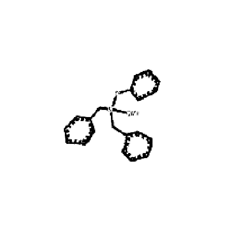 CO[Si](Cc1ccccc1)(Cc1ccccc1)Oc1ccccc1